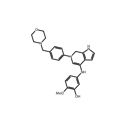 COc1ccc(NC2=CN(c3ccc(CN4CCOCC4)cc3)Cc3[nH]ccc32)cc1O